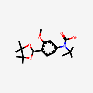 COc1cc(N(C(=O)O)C(C)(C)C)ccc1B1OC(C)(C)C(C)(C)O1